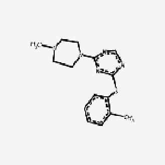 Cc1ccccc1Sc1ncnc(N2CCN(C)CC2)n1